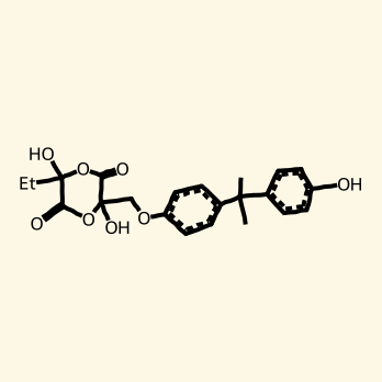 CCC1(O)OC(=O)C(O)(COc2ccc(C(C)(C)c3ccc(O)cc3)cc2)OC1=O